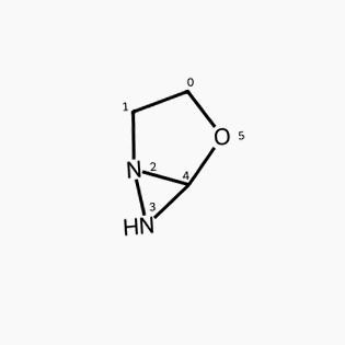 C1CN2NC2O1